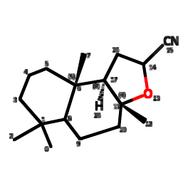 CC1(C)CCC[C@@]2(C)C1CC[C@@]1(C)OC(C#N)C[C@@H]12